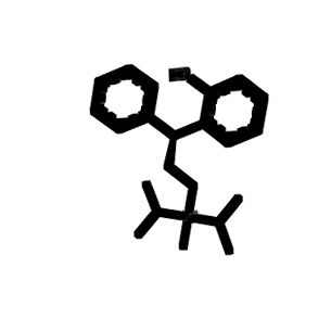 CC(C)[N+](C)(CC[C@@H](c1ccccc1)c1ccccc1O)C(C)C